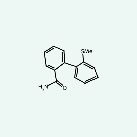 CSc1ccccc1-c1cc[c]cc1C(N)=O